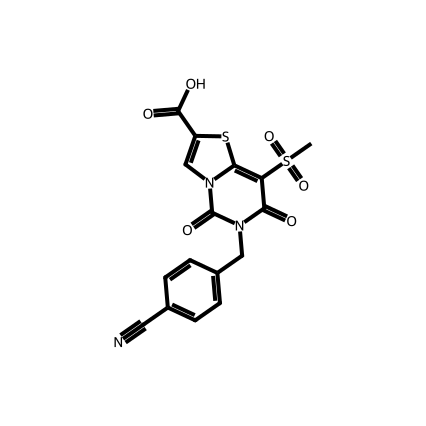 CS(=O)(=O)c1c(=O)n(Cc2ccc(C#N)cc2)c(=O)n2cc(C(=O)O)sc12